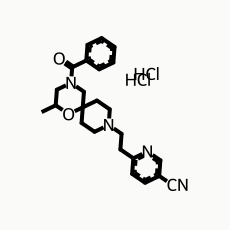 CC1CN(C(=O)c2ccccc2)CC2(CCN(CCc3ccc(C#N)cn3)CC2)O1.Cl.Cl